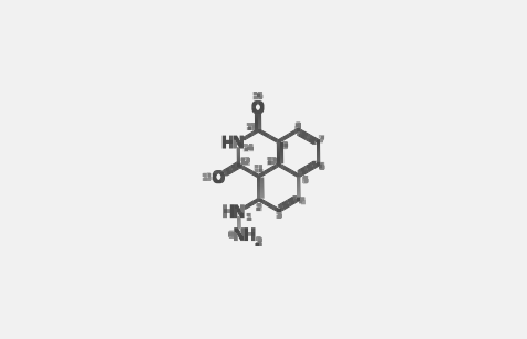 NNc1ccc2cccc3c2c1C(=O)NC3=O